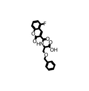 O=C(NC(COCc1ccccc1)C(=O)O)c1cc2c(F)cccc2oc1=O